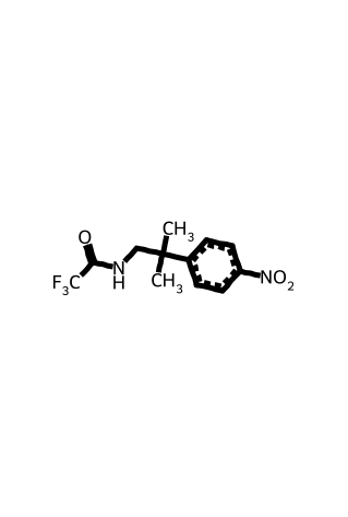 CC(C)(CNC(=O)C(F)(F)F)c1ccc([N+](=O)[O-])cc1